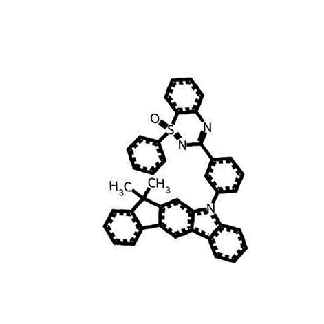 CC1(C)c2ccccc2-c2cc3c4ccccc4n(-c4cccc(C5=Nc6ccccc6S(=O)(c6ccccc6)=N5)c4)c3cc21